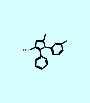 Cc1cc(C(=O)O)c(-c2ccccc2)n1-c1cccc(I)c1